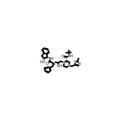 Cc1ncc(CN2CCN(C[C@@H](O)C[C@@H](Cc3ccccc3)C(=O)N[C@H]3c4ccccc4C[C@H]3O)[C@H](C(=O)NC(C)(C)C)C2)s1